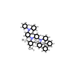 Cc1cc(C)c(N2c3cc(N4c5ccccc5[Si](c5ccccc5)(c5ccccc5)c5ccccc54)ccc3B3c4ccccc4N(c4ccccc4)c4cccc2c43)c(C)c1